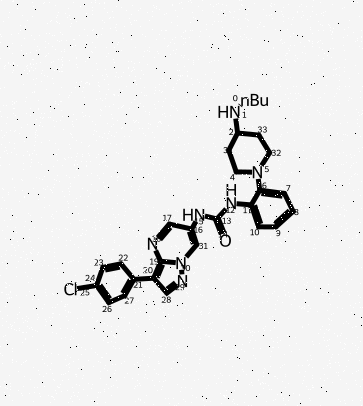 CCCCNC1CCN(c2ccccc2NC(=O)Nc2cnc3c(-c4ccc(Cl)cc4)cnn3c2)CC1